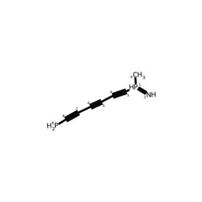 C[PH](=N)C#CC#CC#CP